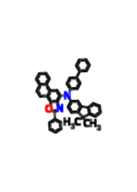 CC1(C)c2ccccc2-c2cc(N(c3ccc(-c4ccccc4)cc3)c3cc4c5ccccc5ccc4c4oc(-c5ccccc5)nc34)ccc21